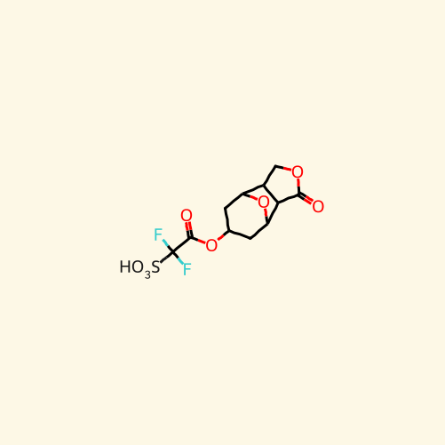 O=C1OCC2C3CC(OC(=O)C(F)(F)S(=O)(=O)O)CC(O3)C12